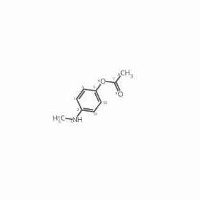 CNc1ccc(OC(C)=O)cc1